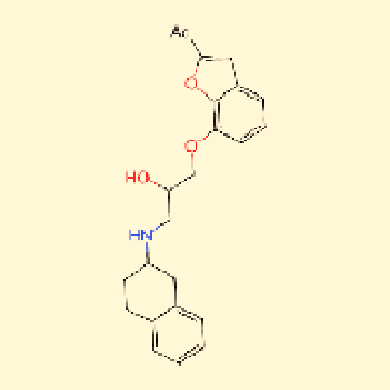 CC(=O)c1cc2cccc(OCC(O)CNC3CCc4ccccc4C3)c2o1